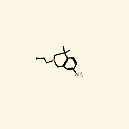 CC1(C)CN(CCF)Cc2cc(N)ccc21